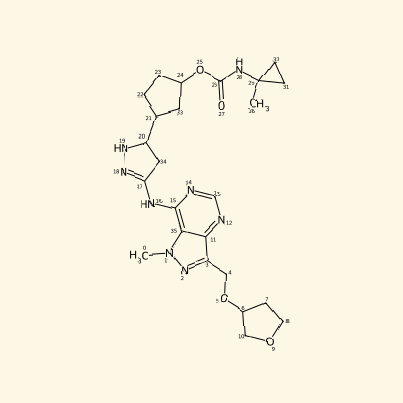 Cn1nc(COC2CCOC2)c2ncnc(NC3=NNC(C4CCC(OC(=O)NC5(C)CC5)C4)C3)c21